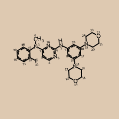 CN(c1ccnc(Nc2cc(N3CCOCC3)cc(N3CCOCC3)c2)n1)c1ccccc1F